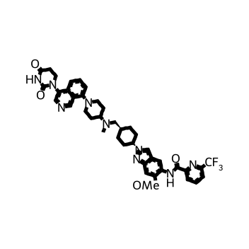 COc1cc2nn([C@H]3CC[C@H](CN(C)C4CCN(c5cccc6c(N7CCC(=O)NC7=O)cncc56)CC4)CC3)cc2cc1NC(=O)c1cccc(C(F)(F)F)n1